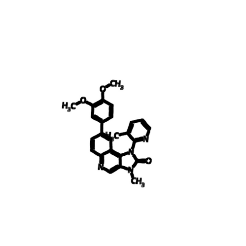 COc1ccc(-c2ccc3ncc4c(c3c2)n(-c2ncccc2C)c(=O)n4C)cc1OC